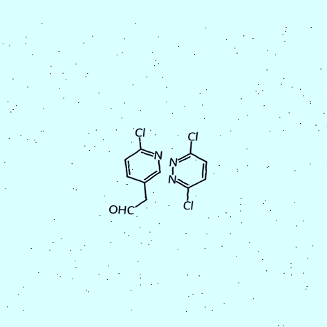 Clc1ccc(Cl)nn1.O=CCc1ccc(Cl)nc1